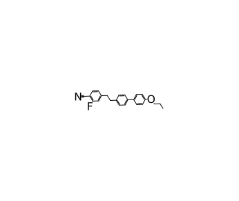 CCCOc1ccc(-c2ccc(CCc3ccc(C#N)c(F)c3)cc2)cc1